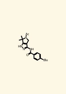 CC(=O)N1Cc2c(NC(=O)c3ccc(C(C)(C)C)cc3)n[nH]c2C1(C)C